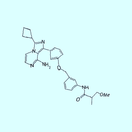 COCC(C)C(=O)Nc1cccc(COc2cccc(-c3nc(C4CCC4)n4ccnc(N)c34)c2)c1